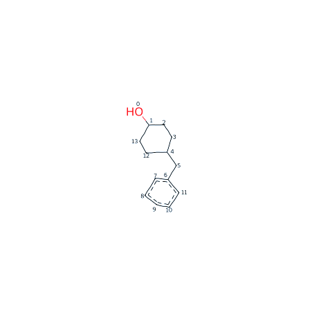 OC1CCC(Cc2ccccc2)CC1